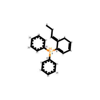 CCC=C1CC=CC=C1[PH2](c1ccccc1)c1ccccc1